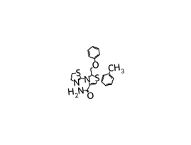 Cc1ccccc1.NC(=O)C1=CSC(COc2ccccc2)N1C1=NCCS1